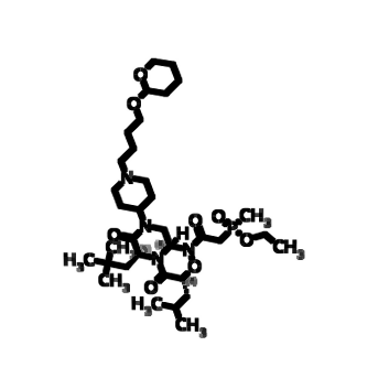 CCOP(C)(=O)CC(=O)N1O[C@H](CC(C)C)C(=O)N2[C@@H]1CN(C1CCN(CCCCOC3CCCCO3)CC1)C(=O)[C@@H]2CC(C)(C)C